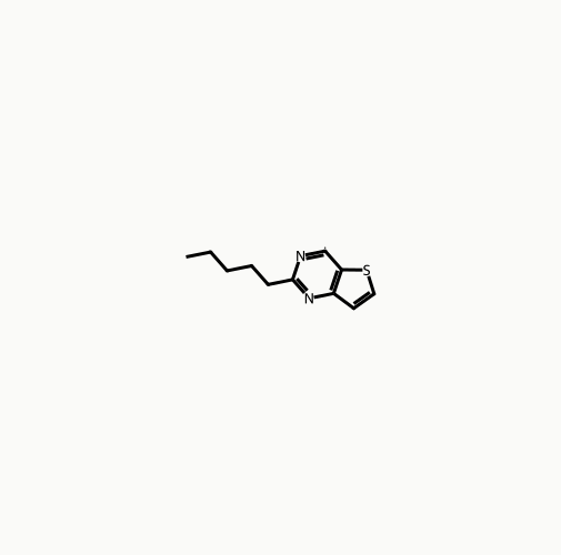 CCCCCc1n[c]c2sccc2n1